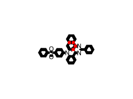 O=S(=O)(c1ccccc1)c1ccc(N(c2ccccc2)c2ccccc2-c2nc(-c3ccccc3)nc(-c3ccccc3)n2)cc1